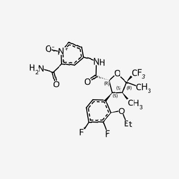 CCOc1c([C@H]2[C@H](C(=O)Nc3cc[n+]([O-])c(C(N)=O)c3)O[C@@](C)(C(F)(F)F)[C@H]2C)ccc(F)c1F